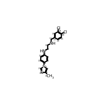 Cc1cn(-c2ccc(NCCNCc3ccc(Cl)c(Cl)c3)cc2)cn1